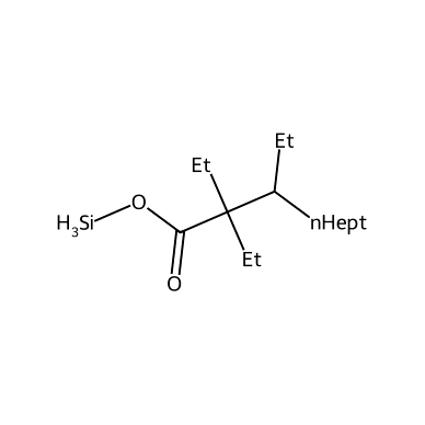 CCCCCCCC(CC)C(CC)(CC)C(=O)O[SiH3]